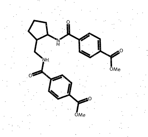 COC(=O)c1ccc(C(=O)NCC2CCCC2NC(=O)c2ccc(C(=O)OC)cc2)cc1